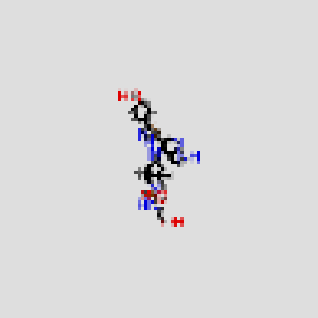 O=S(=O)(NCCO)N1C[C@H]2CC(Nc3c(-c4nnc(C5=CCC(O)CC5)s4)cnc4[nH]ccc34)C[C@H]2C1